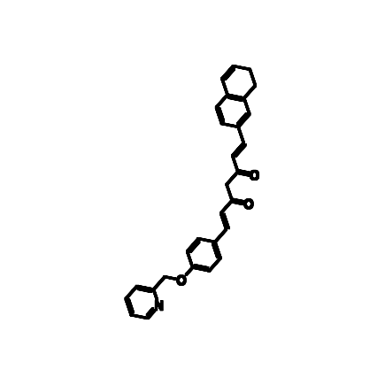 O=C(/C=C/c1ccc(OCc2ccccn2)cc1)CC(=O)/C=C/c1ccc2c(c1)CCC=C2